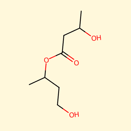 CC(O)CC(=O)OC(C)CCO